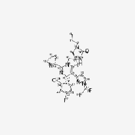 C=CCN1C[C@]2(CC3=C(c4ccn(C(F)F)n4)[C@H](c4ccc(F)cc4Cl)N=C(c4nccs4)N3C2)NC1=O